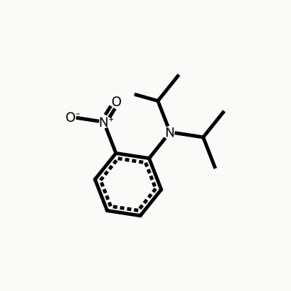 CC(C)N(c1ccccc1[N+](=O)[O-])C(C)C